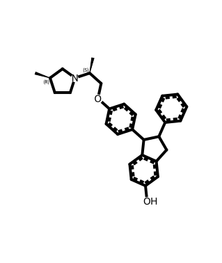 C[C@@H]1CCN([C@@H](C)COc2ccc(C3c4ccc(O)cc4CC3c3ccccc3)cc2)C1